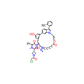 C=NN1CCCCC(=O)OC[C@@H](C)Cn2cc(-c3ccccc3C#N)c3ccc(cc32)-c2cc(O)cc(c2)C[C@H](NC(=O)[C@H](C(C)C)N(C)C(=O)C2CN(C(=O)CCl)C2)C1=O